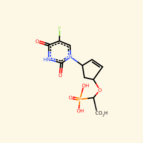 O=C(O)C(OC1C=CC(n2cc(F)c(=O)[nH]c2=O)C1)P(=O)(O)O